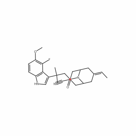 CC=C1CC2CC(C#N)CC(C1)N2C(=O)CC(C)(C)c1c[nH]c2ccc(OC)c(F)c12